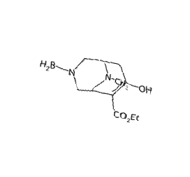 BN1CC2CC(O)=C(C(=O)OCC)C(C1)N2C